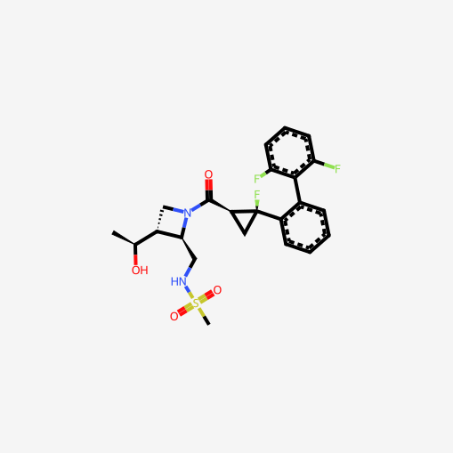 C[C@H](O)[C@@H]1CN(C(=O)[C@@H]2C[C@@]2(F)c2ccccc2-c2c(F)cccc2F)[C@H]1CNS(C)(=O)=O